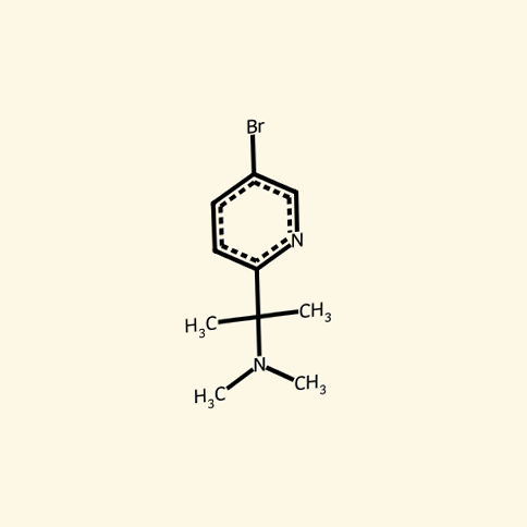 CN(C)C(C)(C)c1ccc(Br)cn1